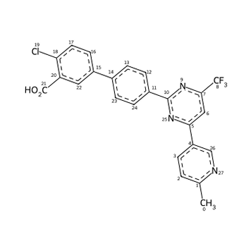 Cc1ccc(-c2cc(C(F)(F)F)nc(-c3ccc(-c4ccc(Cl)c(C(=O)O)c4)cc3)n2)cn1